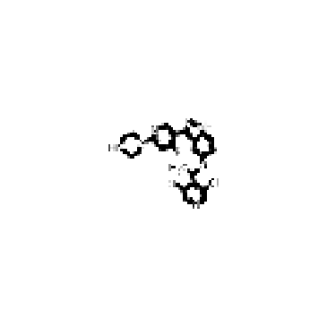 CC(Oc1ccc2[nH]nc(-c3cnc(N4CCNCC4)cc3F)c2c1)c1c(Cl)cncc1Cl